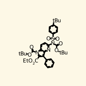 CCOC(=O)c1c(-c2ccccc2)c2nc(N(C(=O)OC(C)(C)C)S(=O)(=O)c3ccc(C(C)(C)C)cc3)ccc2n1C(=O)OC(C)(C)C